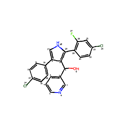 OC(c1cccnc1)c1c(-c2ccc(Cl)cc2)c[nH]c1-c1ccc(Cl)cc1F